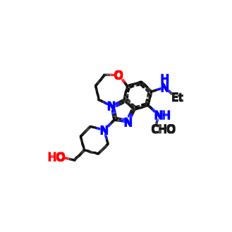 CCNc1cc2c3c(nc(N4CCC(CO)CC4)n3CCCO2)c1NC=O